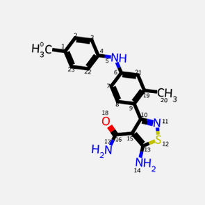 Cc1ccc(Nc2ccc(-c3nsc(N)c3C(N)=O)c(C)c2)cc1